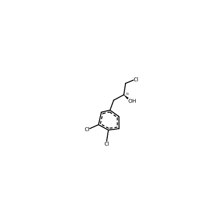 O[C@H](CCl)Cc1ccc(Cl)c(Cl)c1